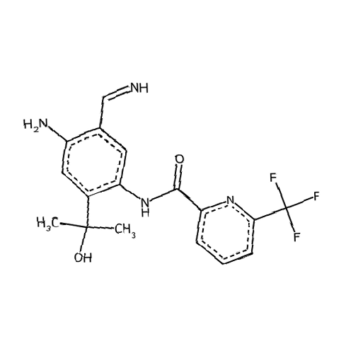 CC(C)(O)c1cc(N)c(C=N)cc1NC(=O)c1cccc(C(F)(F)F)n1